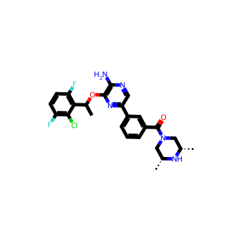 CC(Oc1nc(-c2cccc(C(=O)N3C[C@@H](C)N[C@@H](C)C3)c2)cnc1N)c1c(F)ccc(F)c1Cl